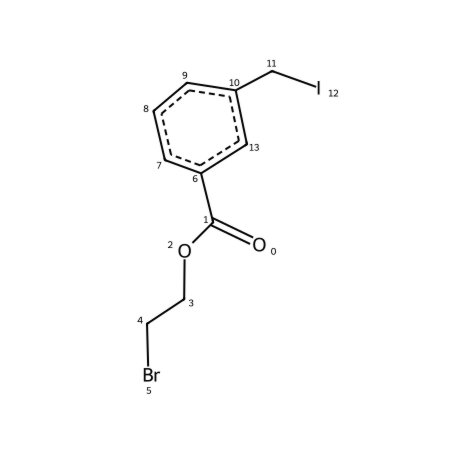 O=C(OCCBr)c1cccc(CI)c1